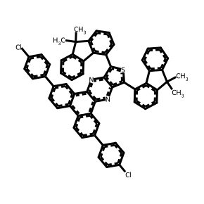 CC1(C)c2ccccc2-c2c(-c3sc(-c4cccc5c4-c4ccccc4C5(C)C)c4nc5c6cc(-c7ccc(Cl)cc7)ccc6c6ccc(-c7ccc(Cl)cc7)cc6c5nc34)cccc21